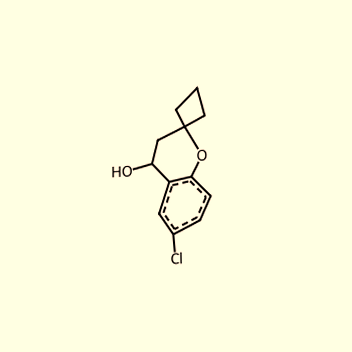 OC1CC2(CCC2)Oc2ccc(Cl)cc21